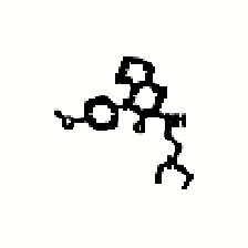 CCN(CC)CCNc1nc2cccnc2n(-c2ccc(OC)cc2)c1=O